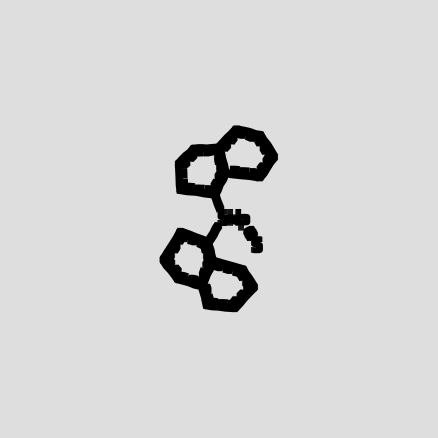 S=P[SH](c1cccc2ccccc12)c1cccc2ccccc12